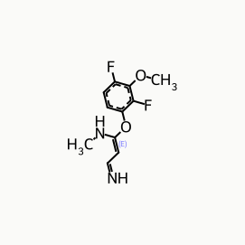 CN/C(=C\C=N)Oc1ccc(F)c(OC)c1F